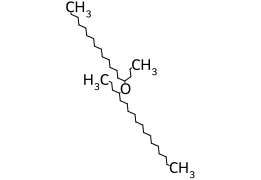 CCCCCCCCCCCCCCC(CCC)OC(CCC)CCCCCCCCCCCCCC